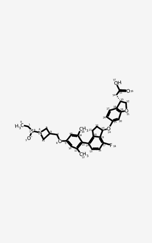 CC[S+]([O-])N1CC(COc2cc(C)c(-c3ccc(F)c4c3CC[C@H]4Oc3ccc4c(c3)OC[C@H]4CC(=O)O)c(C)c2)C1